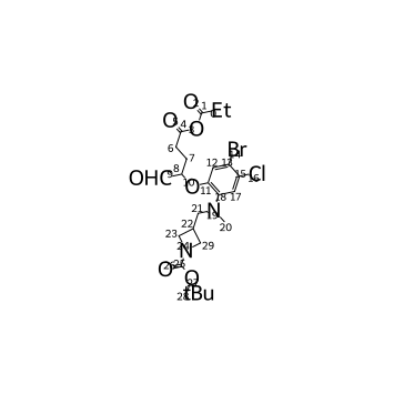 CCC(=O)OC(=O)CCC(C=O)Oc1cc(Br)c(Cl)cc1N(C)CC1CN(C(=O)OC(C)(C)C)C1